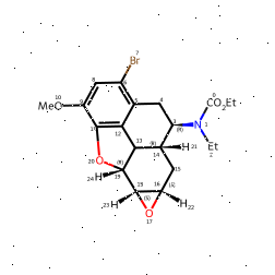 CCOC(=O)N(CC)[C@@H]1Cc2c(Br)cc(OC)c3c2C2[C@H]1C[C@@H]1O[C@@H]1[C@@H]2O3